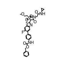 COCCS(=O)(=O)C(C(=O)NCC(=O)NC1CC1)c1nc2cc(-c3ccc(NC(=O)OCc4ccccc4)cc3)c(F)cc2s1